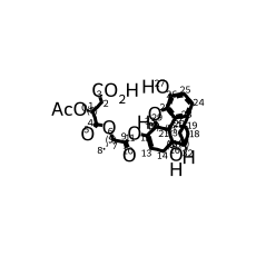 CC(=O)O[C@@H](CC(=O)O)C(=O)O[C@@H](C)C(=O)OC1=CC[C@]2(O)[C@H]3CCC[C@]24c2c(ccc(O)c2O[C@H]14)C3